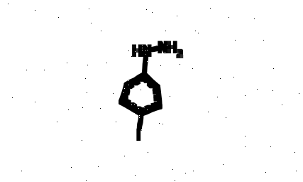 NNc1ccc(I)cc1